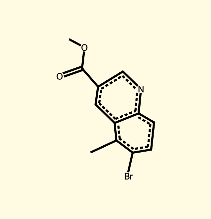 COC(=O)c1cnc2ccc(Br)c(C)c2c1